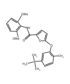 COc1cccc(OC)c1NC(=O)c1ccc(Oc2cc([Si](C)(C)C)ccc2C)o1